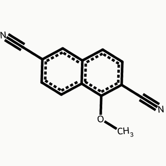 COc1c(C#N)ccc2cc(C#N)ccc12